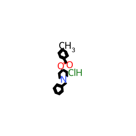 Cc1ccc(C(=O)OC2CCN(Cc3ccccc3)CC2)cc1.Cl